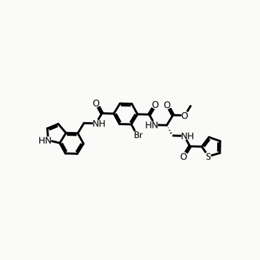 COC(=O)[C@H](CNC(=O)c1cccs1)NC(=O)c1ccc(C(=O)NCc2cccc3[nH]ccc23)cc1Br